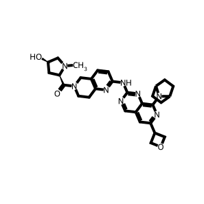 CN1C[C@H](O)C[C@@H]1C(=O)N1CCc2nc(Nc3ncc4cc(C5COC5)nc(N5C6CCC5CC6)c4n3)ccc2C1